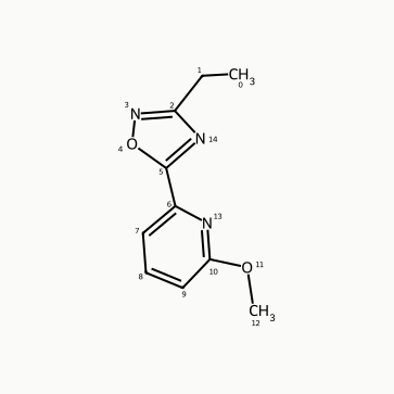 CCc1noc(-c2cccc(OC)n2)n1